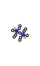 c1ccc2cc(N3B(c4ccc(B5N(c6ccc7ccccc7c6)c6sc7ccccc7c6N5c5ccc6ccccc6c5)cc4)N(c4ccc5ccccc5c4)c4c3sc3ccccc43)ccc2c1